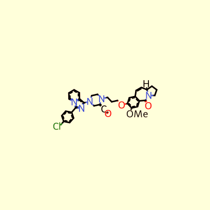 COc1cc2c(cc1OCCCN1CCN(c3nc(-c4ccc(Cl)cc4)n4ccccc34)CC1=C=O)C=C[C@@H]1CCCN1C2=O